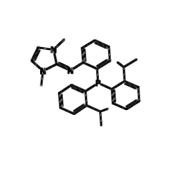 CC(C)c1ccccc1P(c1ccccc1N=c1n(C)ccn1C)c1ccccc1C(C)C